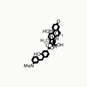 CNc1cccc(Cc2ccc([C@H]3O[C@@H]4C[C@H]5[C@@H]6CCC7=CC(=O)C=C[C@]7(C)[C@H]6[C@@H](O)C[C@]5(C)[C@]4(C(=O)CO)O3)cc2O)c1